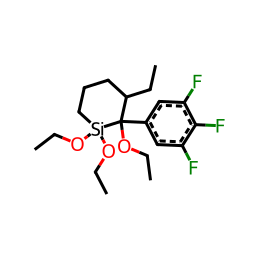 CCOC1(c2cc(F)c(F)c(F)c2)C(CC)CCC[Si]1(OCC)OCC